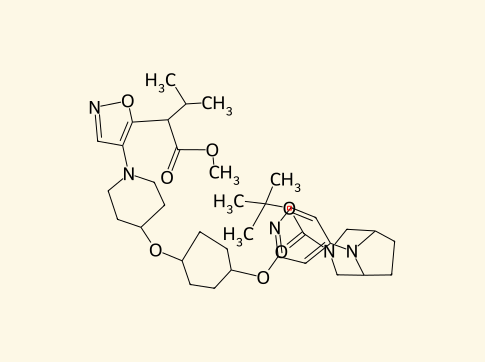 COC(=O)C(c1oncc1N1CCC(OC2CCC(Oc3cc(N4C5CCC4CN(C(=O)OC(C)(C)C)C5)ccn3)CC2)CC1)C(C)C